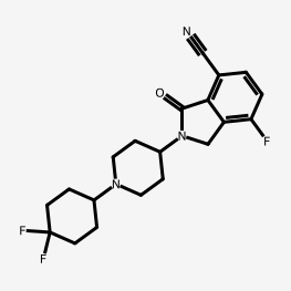 N#Cc1ccc(F)c2c1C(=O)N(C1CCN(C3CCC(F)(F)CC3)CC1)C2